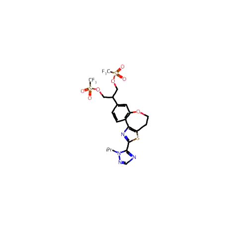 CC(C)n1ncnc1-c1nc2c(s1)CCOc1cc(C(COS(=O)(=O)C(F)(F)F)COS(=O)(=O)C(F)(F)F)ccc1-2